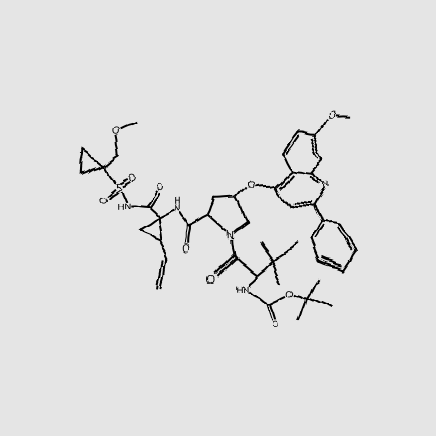 C=CC1CC1(NC(=O)C1CC(Oc2cc(-c3ccccc3)nc3cc(OC)ccc23)CN1C(=O)C(NC(=O)OC(C)(C)C)C(C)(C)C)C(=O)NS(=O)(=O)C1(COC)CC1